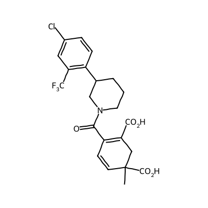 CC1(C(=O)O)C=CC(C(=O)N2CCCC(c3ccc(Cl)cc3C(F)(F)F)C2)=C(C(=O)O)C1